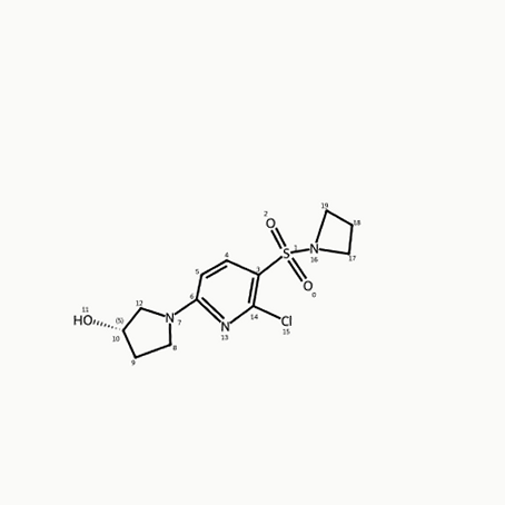 O=S(=O)(c1ccc(N2CC[C@H](O)C2)nc1Cl)N1CCC1